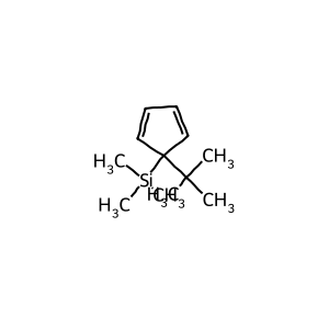 CC(C)(C)C1([Si](C)(C)C)C=CC=C1